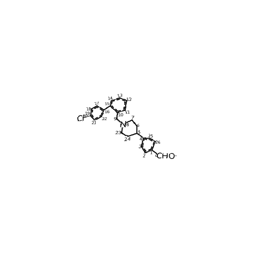 O=[C]c1ccc(C2CCN(Cc3ccccc3-c3ccc(Cl)cc3)CC2)cc1